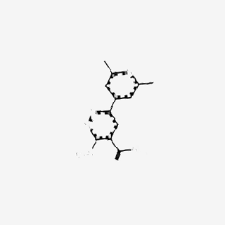 CNc1nnc(-c2cc(C)nc(C)c2)cc1C(N)=O